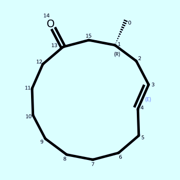 C[C@@H]1C/C=C/CCCCCCCCC(=O)C1